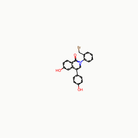 O=c1c2ccc(O)cc2c(-c2ccc(O)cc2)cn1-c1ccccc1CBr